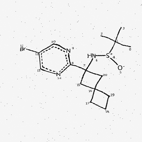 CC(C)(C)[S+]([O-])NC1(c2ncc(Br)cn2)CC2(CCC2)C1